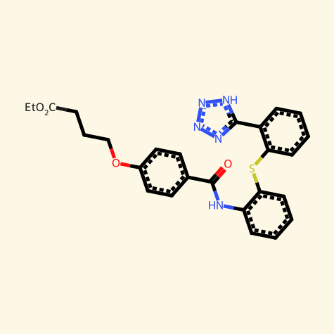 CCOC(=O)CCCOc1ccc(C(=O)Nc2ccccc2Sc2ccccc2-c2nnn[nH]2)cc1